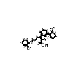 COc1ccccc1-c1cccc2c(CCCOc3ccccc3Br)c(C(=O)O)[nH]c12